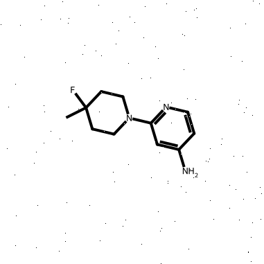 CC1(F)CCN(c2cc(N)ccn2)CC1